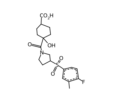 Cc1cc(S(=O)(=O)C2CCN(C(=O)C3(O)CCC(C(=O)O)CC3)C2)ccc1F